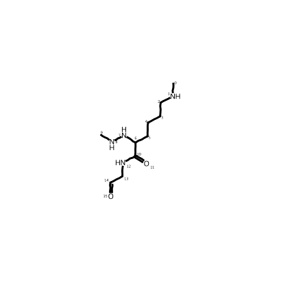 CNCCCCC(NNC)C(=O)NCC=O